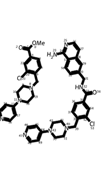 COC(=O)c1ccc(CN2CCN(c3ccncc3)CC2)c(Cl)c1.Nc1nccc2cc(CNC(=O)c3ccc(CN4CCN(c5ccncc5)CC4)c(Cl)c3)ccc12